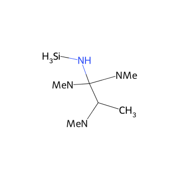 CNC(C)C(NC)(NC)N[SiH3]